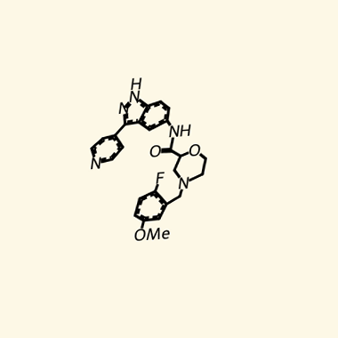 COc1ccc(F)c(CN2CCOC(C(=O)Nc3ccc4[nH]nc(-c5ccncc5)c4c3)C2)c1